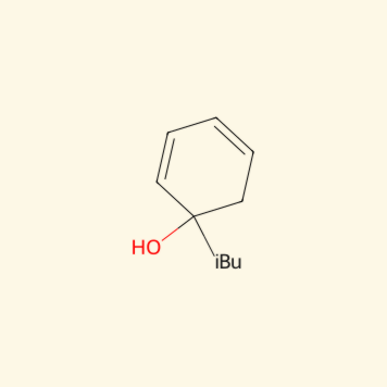 CCC(C)C1(O)C=CC=CC1